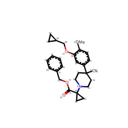 COc1ccc(C2(C#N)CCN(C3(C(=O)OCc4ccccc4)CC3)CC2)cc1OCC1CC1